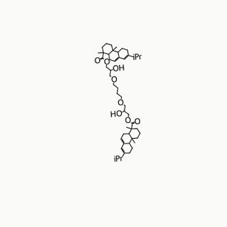 CC(C)C1=CC2=CCC3C(C)(C(=O)OCC(O)COCCCCOCC(O)COC(=O)C4(C)CCCC5(C)C6CCC(C(C)C)=CC6=CCC45)CCCC3(C)C2CC1